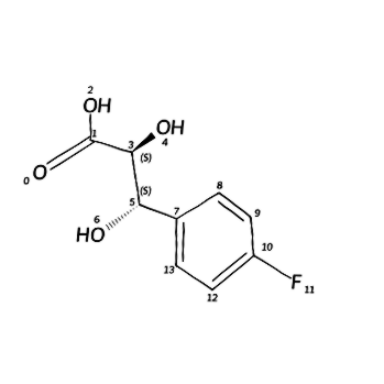 O=C(O)[C@@H](O)[C@@H](O)c1ccc(F)cc1